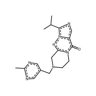 Cc1ncc(CN2CCn3c(nn4c(C(C)C)ncc4c3=O)C2)cn1